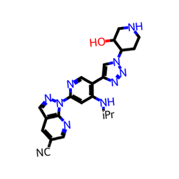 CC(C)Nc1cc(-n2ncc3cc(C#N)cnc32)ncc1-c1cn(C2CCNCC2O)nn1